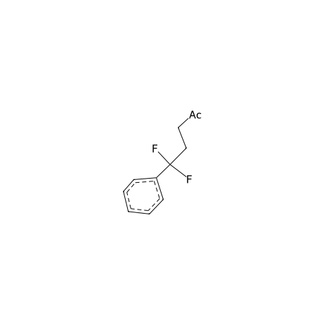 CC(=O)CCC(F)(F)c1ccccc1